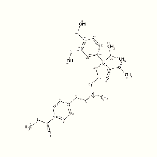 CCC(=O)c1ccc(CCN(C)CCCC(C(=O)OC)(c2ccc(CO)c(CO)c2)C(C)C)cc1